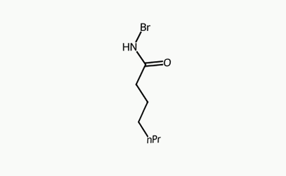 CCCCCCC(=O)NBr